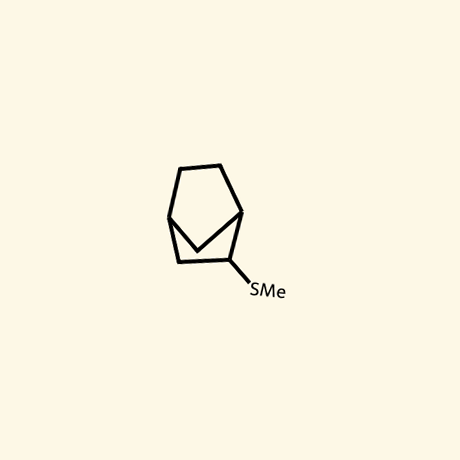 CSC1CC2CCC1C2